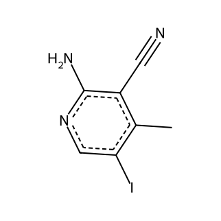 Cc1c(I)cnc(N)c1C#N